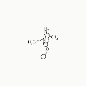 CCCCCNc1nc(N)nc(C)c1Cc1cccc(OCCN2CCCCC2)c1